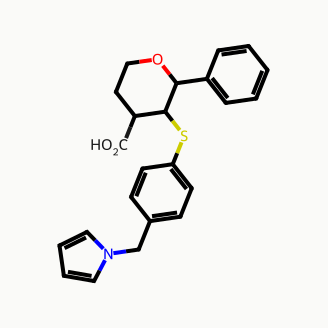 O=C(O)C1CCOC(c2ccccc2)C1Sc1ccc(Cn2cccc2)cc1